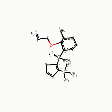 C=CCOc1c(C(C)(C)C)cccc1[Si](C)(C)C1=C([Si](C)(C)C)C=CC1